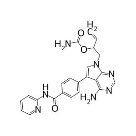 C=CC(Cn1cc(-c2ccc(C(=O)Nc3ccccn3)cc2)c2c(N)ncnc21)OC(N)=O